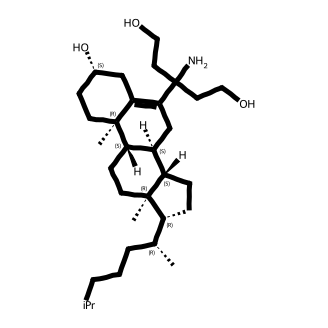 CC(C)CCC[C@@H](C)[C@H]1CC[C@H]2[C@@H]3CC(C(N)(CCO)CCO)=C4C[C@@H](O)CC[C@]4(C)[C@H]3CC[C@]12C